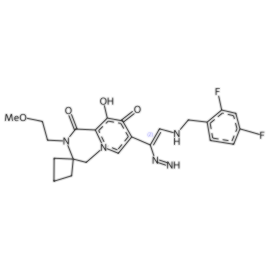 COCCN1C(=O)c2c(O)c(=O)c(/C(=C/NCc3ccc(F)cc3F)N=N)cn2CC12CCC2